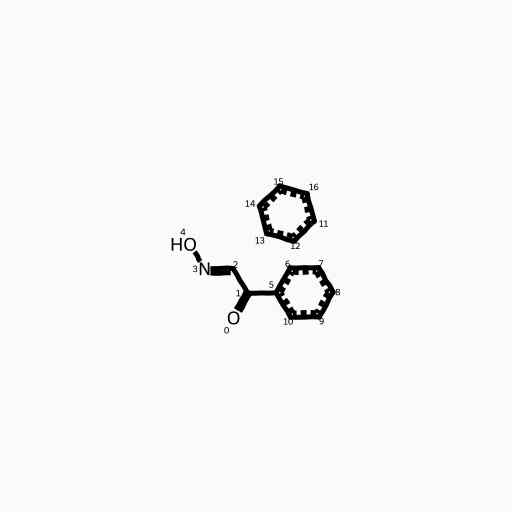 O=C(C=NO)c1ccccc1.c1ccccc1